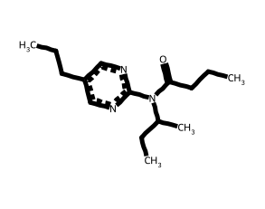 CCCC(=O)N(c1ncc(CCC)cn1)C(C)CC